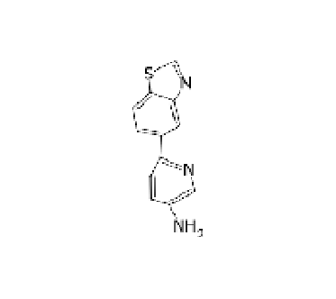 Nc1ccc(-c2ccc3scnc3c2)nc1